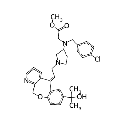 COC(=O)CN(Cc1ccc(Cl)cc1)C1CCN(C/C=C2\C3=C=C=CN=C3COc3ccc(C(C)(C)O)cc32)C1